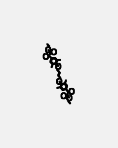 CCOC(=O)C(=O)c1cc(C)c(OCC=CCOc2c(C)cc(C(=O)C(=O)OCC)cc2C)c(C)c1